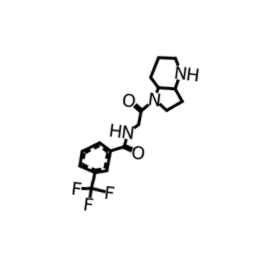 O=C(NCC(=O)N1CCC2NCCCC21)c1cccc(C(F)(F)F)c1